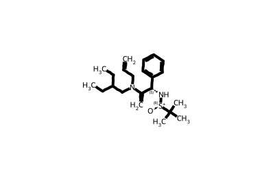 C=CCN(CC(CC)CC)C(=C)[C@@H](N[S@@+]([O-])C(C)(C)C)c1ccccc1